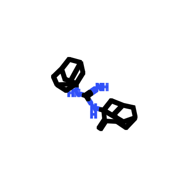 C=C1C2CC3CC(C2)CC1(NC(=N)NC12CC4CC(CC(C4)C1)C2)C3